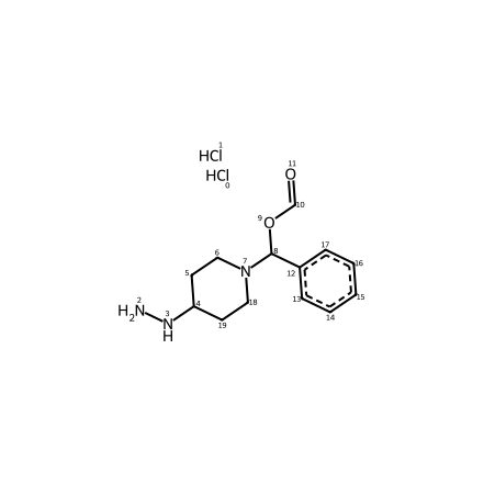 Cl.Cl.NNC1CCN(C(OC=O)c2ccccc2)CC1